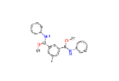 CCOB(Nc1ccccc1)c1cc(C)cc(B(Nc2ccccc2)OCC)c1